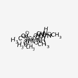 CC1=CCC(NC(O)c2ccc3c(c2)N(CC(C)C)C(=O)[C@H](CC(C)C)N=C3c2ccccc2)C=C1NCc1cnc(NC2=CN=C(C)CC2)nc1N(C)C=O